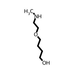 CNCCOCCCCO